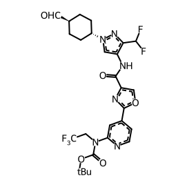 CC(C)(C)OC(=O)N(CC(F)(F)F)c1cc(-c2nc(C(=O)Nc3cn([C@H]4CC[C@H](C=O)CC4)nc3C(F)F)co2)ccn1